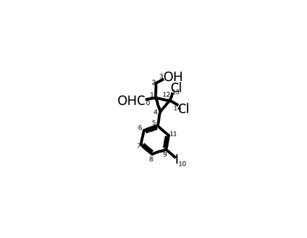 O=CC1(CO)C(c2cccc(I)c2)C1(Cl)Cl